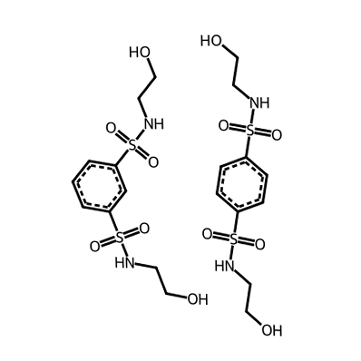 O=S(=O)(NCCO)c1ccc(S(=O)(=O)NCCO)cc1.O=S(=O)(NCCO)c1cccc(S(=O)(=O)NCCO)c1